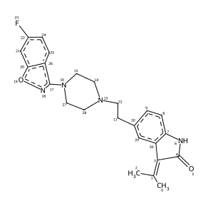 CC(C)=C1C(=O)Nc2ccc(CCN3CCN(c4noc5cc(F)ccc45)CC3)cc21